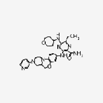 CCc1nc(C(N)=O)c(Nc2ccc3c(c2)OCC2CN(c4cccnc4)CCN32)nc1NC1CCOCC1